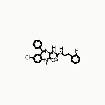 CN1C(=O)C(NC(=S)NCCc2ccccc2F)N=C(c2ccccc2)c2cc(Cl)ccc21